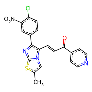 Cc1cn2c(/C=C/C(=O)c3ccncc3)c(-c3ccc(Cl)c([N+](=O)[O-])c3)nc2s1